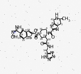 CC1Cc2nc(C(=O)N3CCN(S(=O)(=O)c4cc5cc(/C(N)=N\O)ccc5s4)CC3CC(=O)NCc3nnn[nH]3)sc2CN1